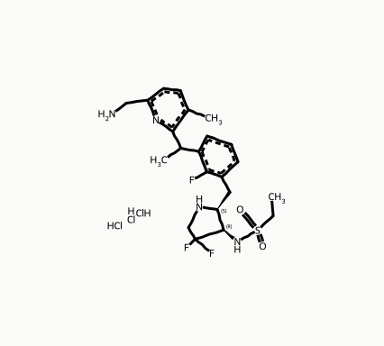 CCS(=O)(=O)N[C@@H]1[C@H](Cc2cccc(C(C)c3nc(CN)ccc3C)c2F)NCC1(F)F.Cl.Cl.Cl